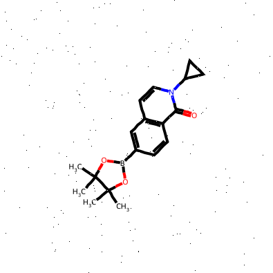 CC1(C)OB(c2ccc3c(=O)n(C4CC4)ccc3c2)OC1(C)C